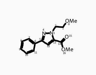 COCCn1nc(-c2ccccc2)cc1C(=O)OC